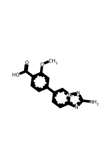 COc1cc(-c2ccc3nc(N)nn3c2)ccc1C(=O)O